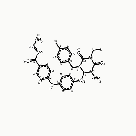 CCN1C(=O)N(N)C(Nc2ccc(Oc3ccc(C(=O)N=NN)cn3)cc2)N(Cc2ccc(C)cc2)C1=O